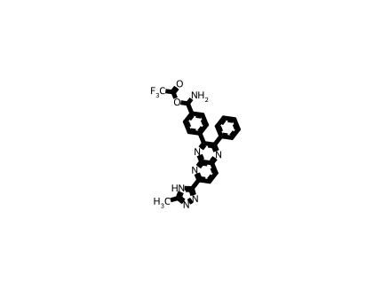 Cc1nnc(-c2ccc3nc(-c4ccccc4)c(-c4ccc(C(N)OC(=O)C(F)(F)F)cc4)nc3n2)[nH]1